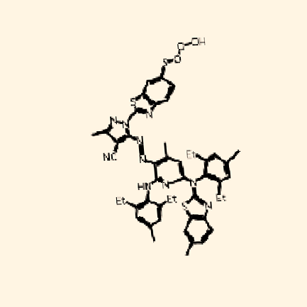 CCc1cc(C)cc(CC)c1Nc1nc(N(c2nc3ccc(C)cc3s2)c2c(CC)cc(C)cc2CC)cc(C)c1N=Nc1c(C#N)c(C)nn1-c1nc2ccc(SOOO)cc2s1